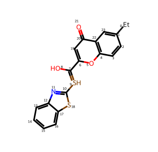 CCc1ccc2oc(C(O)=[SH]c3nc4ccccc4s3)cc(=O)c2c1